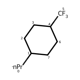 CC[CH]C1CCC(C(F)(F)F)CC1